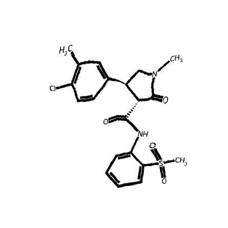 Cc1cc([C@H]2CN(C)C(=O)[C@@H]2C(=O)Nc2ccccc2S(C)(=O)=O)ccc1Cl